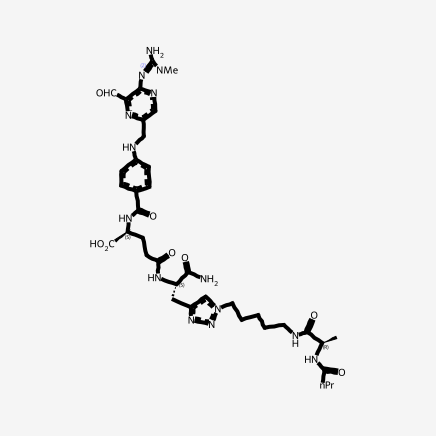 CCCC(=O)N[C@H](C)C(=O)NCCCCCn1cc(C[C@H](NC(=O)CC[C@H](NC(=O)c2ccc(NCc3cnc(/N=C(/N)NC)c(C=O)n3)cc2)C(=O)O)C(N)=O)nn1